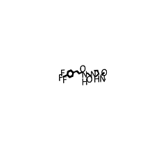 CNC(=O)[C@H]1CCN(C(=O)CNC(=O)/C=C/c2ccc(C(F)(F)F)cc2)C1